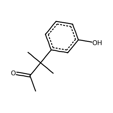 CC(=O)C(C)(C)c1cccc(O)c1